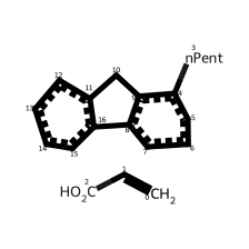 C=CC(=O)O.CCCCCc1cccc2c1Cc1ccccc1-2